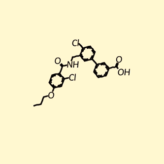 CCCOc1ccc(C(=O)NCc2cc(-c3cccc(C(=O)O)c3)ccc2Cl)c(Cl)c1